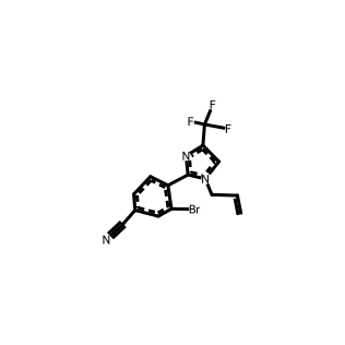 C=CCn1cc(C(F)(F)F)nc1-c1ccc(C#N)cc1Br